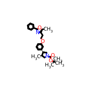 Cc1oc(-c2ccccc2)nc1CCOc1cccc([C@@H]2CN(C(=O)OC(C)(C)C)C[C@H]2C)c1